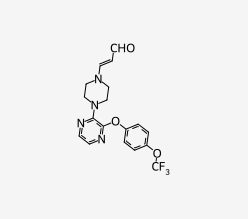 O=CC=CN1CCN(c2nccnc2Oc2ccc(OC(F)(F)F)cc2)CC1